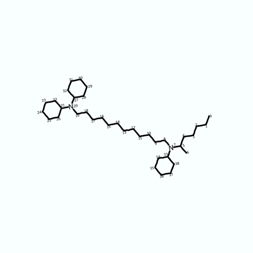 CCCCCC(C)N(CCCCCCCCCCCCN(C1CCCCC1)C1CCCCC1)C1CCCCC1